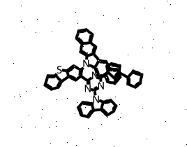 c1ccc(-c2cccc(-c3nc(-c4cc5c(cc4-n4c6cc7ccccc7cc6c6cc7ccccc7cc64)sc4ccccc45)nc(-n4c5ccccc5c5ccccc54)n3)c2)cc1